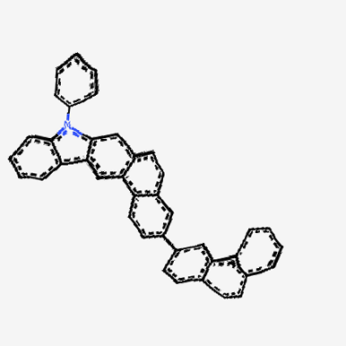 c1ccc(-n2c3ccccc3c3cc4c(ccc5cc(-c6ccc7ccc8ccccc8c7c6)ccc54)cc32)cc1